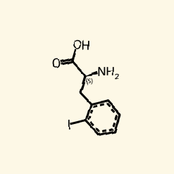 N[C@@H](Cc1ccccc1I)C(=O)O